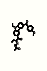 CC/C(=N\OC(C)=O)C(=O)c1ccc2c(c1)c1cc(C(=O)c3ccc(OC)cc3)ccc1n2CC